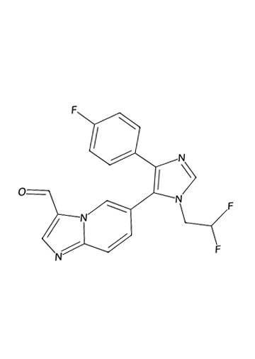 O=Cc1cnc2ccc(-c3c(-c4ccc(F)cc4)ncn3CC(F)F)cn12